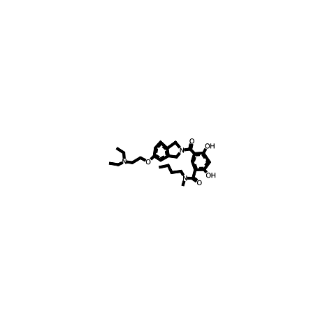 CCCCN(C)C(=O)c1cc(C(=O)N2Cc3ccc(OCCN(CC)CC)cc3C2)c(O)cc1O